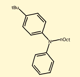 CCCCCCCCN(c1ccccc1)c1ccc(C(C)(C)C)cc1